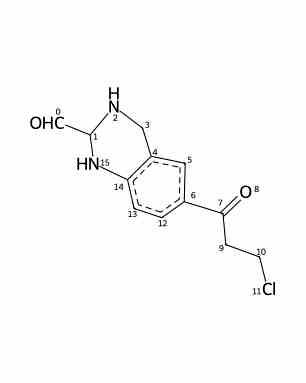 O=CC1NCc2cc(C(=O)CCCl)ccc2N1